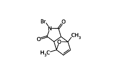 CC12C=CC(C)(O1)C1C(=O)N(Br)C(=O)C12